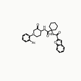 CC(=O)c1ccccc1N1CCC(NC(=O)C2(NC(=O)c3cc4ccccc4o3)CCCCC2)C(=O)C1